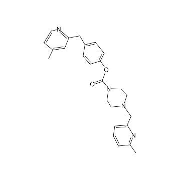 Cc1ccnc(Cc2ccc(OC(=O)N3CCN(Cc4cccc(C)n4)CC3)cc2)c1